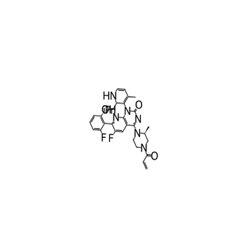 C=CC(=O)N1CCN(c2nc(=O)n(C3=C(C)C=CNC3C(C)C)c3nc(-c4c(O)cccc4F)c(F)cc23)[C@@H](C)C1